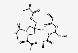 C=C(C)C(=O)OCC(CC)(COC(=O)C(=C)C)COC(=O)C(=C)C.C=CC(=O)OC(CCCCC)OC(=O)C=C